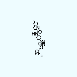 Cc1ccc2nc(C(=O)NC3CCC(c4nnc(OCCOC(F)(F)F)o4)CC3)ccc2c1